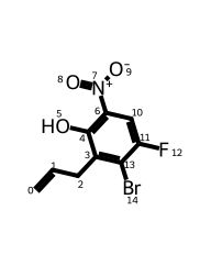 C=CCc1c(O)c([N+](=O)[O-])cc(F)c1Br